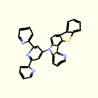 c1ccc(-c2cc(-n3c4cccnc4c4c5sc6ccccc6c5ccc43)cc(-c3ccccn3)n2)nc1